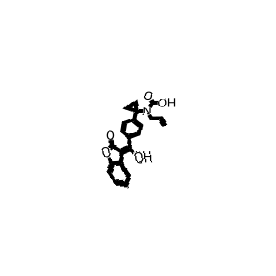 C=CCN(C(=O)O)C1(c2ccc(C(O)=C3C(=O)Oc4ccccc43)cc2)CC1